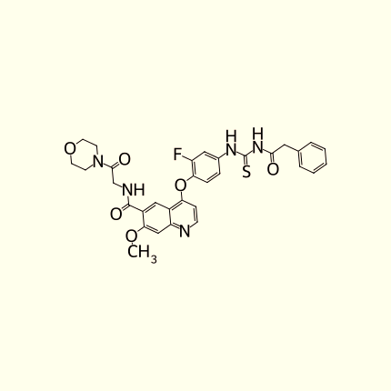 COc1cc2nccc(Oc3ccc(NC(=S)NC(=O)Cc4ccccc4)cc3F)c2cc1C(=O)NCC(=O)N1CCOCC1